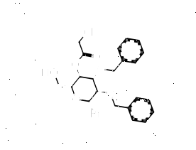 O=C(CCl)O[C@H]1[C@H](OCc2ccccc2)[C@@H](OCc2ccccc2)[C@H](Br)O[C@@H]1CO